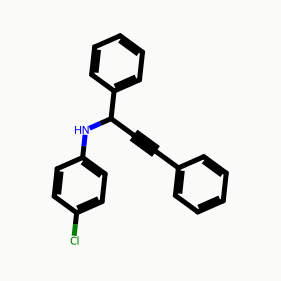 Clc1ccc(NC(C#Cc2ccccc2)c2ccccc2)cc1